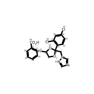 CCCC1COC(Cn2cncn2)(c2ccc(Cl)cc2Cl)O1.O=C(O)c1ccccc1